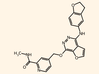 CNC(=O)c1cc(COc2nnc(Nc3ccc4c(c3)CCO4)c3ccoc23)ccn1